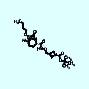 CCCCON1C(=O)N2C[C@@H]1CC[C@H]2C(=O)NOCC1CN(C(=O)OC(C)(C)C)C1